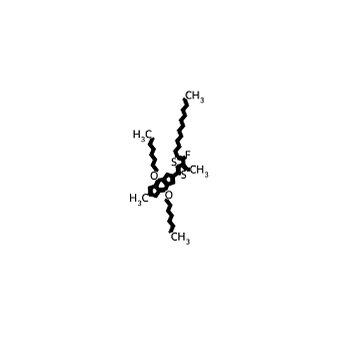 CCCCCCCCCCCCc1sc2c(C3=Cc4c(c(OCCCCCCCC)c5c(c4OCCCCCCCC)CC(C)=C5)C3)sc(C)c2c1F